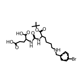 CC(C)(C)OC(=O)C(CCCCNCc1ccc(Br)cc1)NC(=O)NC(CCC(=O)O)C(=O)O